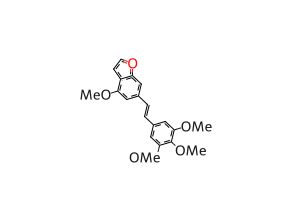 COc1cc(C=Cc2cc(OC)c3ccoc3c2)cc(OC)c1OC